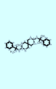 CC(C)(OP1OCC2(CO1)COP(OC(C)(C)c1ccccc1)OC2)c1ccccc1